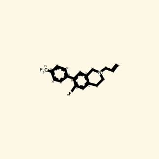 C=CCN1CCc2cc(F)c(-c3ccc(C(F)(F)F)cc3)cc2C1